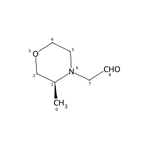 C[C@H]1COCCN1CC=O